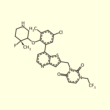 Cc1cc(Cl)cc(-c2ccnc3cc(Cn4c(=O)ccn(CC(F)(F)F)c4=O)sc23)c1OC1CNCC[C@@]1(C)F